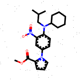 COC(=O)c1cccn1-c1ccc(N(CC(C)C)C2CCCCC2)c([N+](=O)[O-])c1